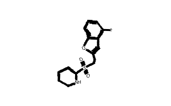 O=S(=O)(Cc1cc2c(F)cccc2o1)C1CCCCN1